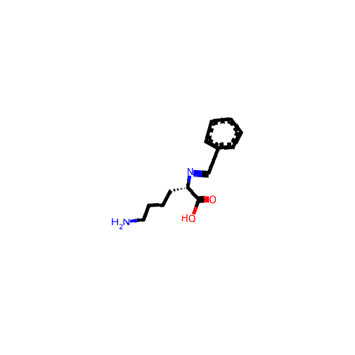 NCCCC[C@H](N=Cc1ccccc1)C(=O)O